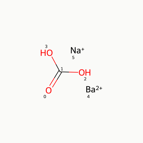 O=C(O)O.[Ba+2].[Na+]